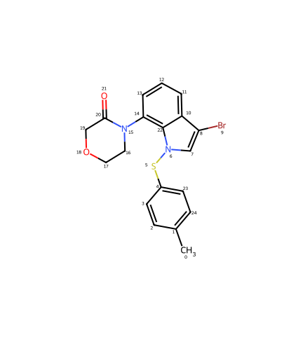 Cc1ccc(Sn2cc(Br)c3cccc(N4CCOCC4=O)c32)cc1